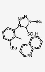 CCC(C)N1N=NN(c2cccc(C(C)(C)C)c2C)C1S(=O)(=O)O.c1ccc2ncccc2c1